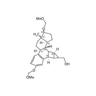 COCOc1ccc2c(c1)[C@@H]1C3C(CO)[C@@H]3C1[C@@H]1[C@@H]2CC[C@]2(C)[C@@H](OCOC)CC[C@@H]12